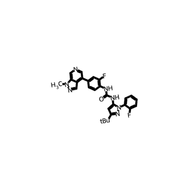 Cn1ncc2c(-c3ccc(NC(=O)Nc4cc(C(C)(C)C)nn4-c4ccccc4F)c(F)c3)cncc21